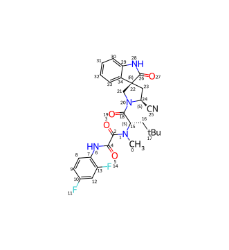 CN(C(=O)C(=O)Nc1ccc(F)cc1F)[C@@H](CC(C)(C)C)C(=O)N1C[C@]2(C[C@H]1C#N)C(=O)Nc1ccccc12